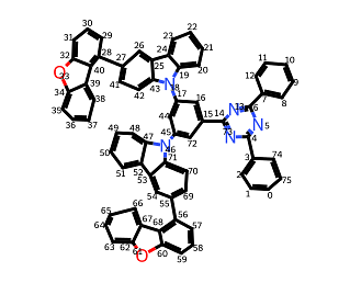 c1ccc(-c2nc(-c3ccccc3)nc(-c3cc(-n4c5ccccc5c5cc(-c6cccc7oc8ccccc8c67)ccc54)cc(-n4c5ccccc5c5cc(-c6cccc7oc8ccccc8c67)ccc54)c3)n2)cc1